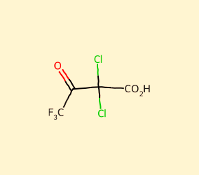 O=C(O)C(Cl)(Cl)C(=O)C(F)(F)F